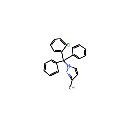 Cc1ccn(C(c2ccccc2)(c2ccccc2)c2ccccc2Cl)n1